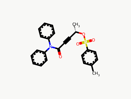 Cc1ccc(S(=O)(=O)O[C@@H](C)C#CC(=O)N(c2ccccc2)c2ccccc2)cc1